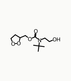 CC(C)(C)N(CCO)C(=O)OCC1CCOO1